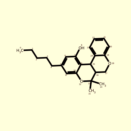 CCCCCc1cc(O)c2c(c1)OC(C)(C)C1COc3ccccc3C21